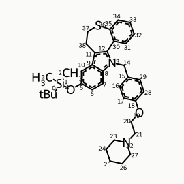 CC(C)(C)[Si](C)(C)Oc1ccc2c(c1)c1c(n2Cc2ccc(OCCN3CCCCC3)cc2)-c2ccccc2SCC1